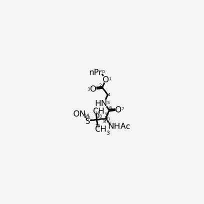 CCCOC(=O)CNC(=O)[C@@H](NC(C)=O)C(C)(C)SN=O